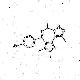 Cc1sc2c(c1C)C(c1ccc(Br)cc1)=NC(C)c1nnc(C)n1-2